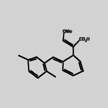 COC=C(C(=O)O)C1C=CC=CC1=Cc1cc(C)ccc1C